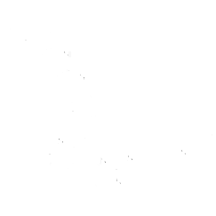 O=C(Nc1ccc(Cl)cc1)Nc1ccc(Oc2ncccc2-c2ccnc(NCCCN3CCOCC3)n2)cc1